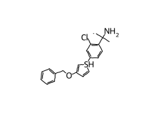 [CH2]C(C)(N)c1ccc([SH]2C=CC(OCc3ccccc3)=C2)cc1Cl